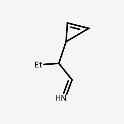 CCC(C=N)C1C=C1